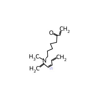 C=C/C=C\C(=C)N(C)CCCCCC(=O)C=C